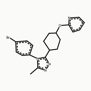 Cc1nnc(C2CCC(Oc3ccccn3)CC2)n1-c1ccc(Br)cc1